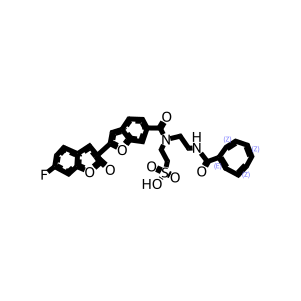 O=C(NCCN(CCS(=O)(=O)O)C(=O)c1ccc2cc(-c3cc4ccc(F)cc4oc3=O)oc2c1)C1=C/C=C\C=C/C=C\1